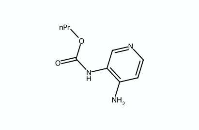 CCCOC(=O)Nc1cnccc1N